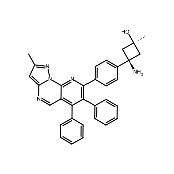 Cc1cc2ncc3c(-c4ccccc4)c(-c4ccccc4)c(-c4ccc([C@]5(N)C[C@@](C)(O)C5)cc4)nc3n2n1